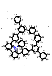 c1ccc(-c2cc(-c3ccccc3)cc(-c3ccc(-c4cccc5c6cccc(-c7ccc(-c8cc(-c9ccccc9)cc(-c9ccccc9)c8)cc7)c6n(-c6ccccc6)c45)cc3)c2)cc1